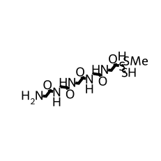 CS[SH](S)C(=O)CNC(=O)CNC(=O)CNC(=O)CNC(=O)CN